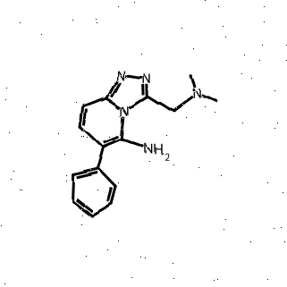 CN(C)Cc1nnc2ccc(-c3ccccc3)c(N)n12